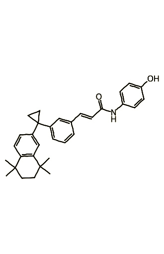 CC1(C)CCC(C)(C)c2cc(C3(c4cccc(C=CC(=O)Nc5ccc(O)cc5)c4)CC3)ccc21